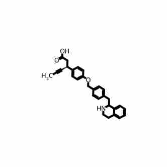 CC#C[C@@H](CC(=O)O)c1ccc(OCc2ccc(CC3NCCc4ccccc43)cc2)cc1